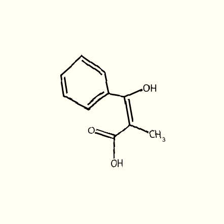 CC(C(=O)O)=C(O)c1ccccc1